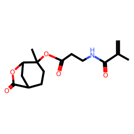 C=C(C)C(=O)NCCC(=O)OC1(C)CCC2CC1OC2=O